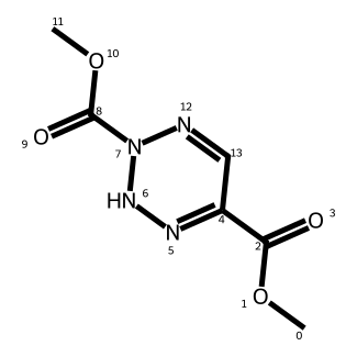 COC(=O)C1=NNN(C(=O)OC)N=C1